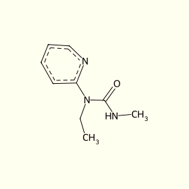 CCN(C(=O)NC)c1ccccn1